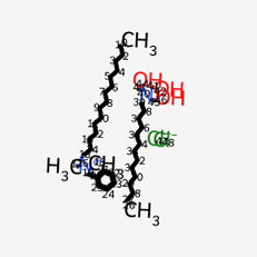 CCCCCCCCCCCCCCCC[N+](C)(C)Cc1ccccc1.CCCCCCCCCCCCCC[N+](CO)(CO)CO.[Cl-].[Cl-]